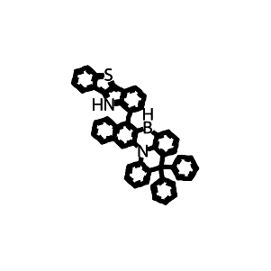 B1c2cccc3c2N(c2ccccc2C3(c2ccccc2)c2ccccc2)c2cc3ccccc3c(-c3cccc4c3[nH]c3c5ccccc5sc43)c21